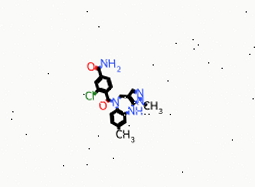 Cc1ccc2c(c1)Nc1c(cnn1C)CN2C(=O)c1ccc(C(N)=O)cc1Cl